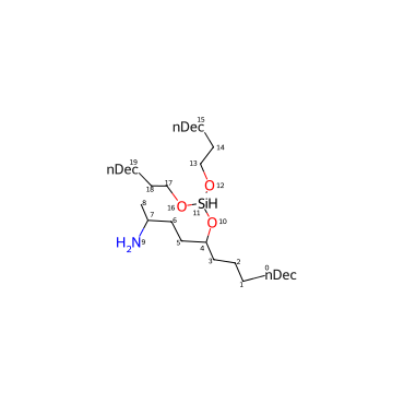 CCCCCCCCCCCCCC(CCC(C)N)O[SiH](OCCCCCCCCCCCC)OCCCCCCCCCCCC